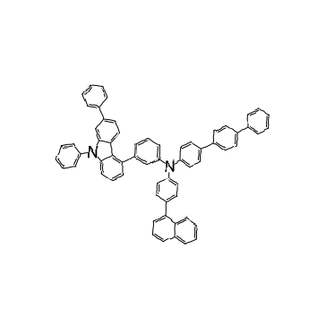 c1ccc(-c2ccc(-c3ccc(N(c4ccc(-c5cccc6ccccc56)cc4)c4cccc(-c5cccc6c5c5ccc(-c7ccccc7)cc5n6-c5ccccc5)c4)cc3)cc2)cc1